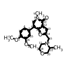 COc1ccc(-c2cn(C)c(=O)c3cc(CN4CCOCC4C)oc23)cc1OC